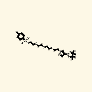 Cc1ccc(S(=O)(=O)OCCOCCOCCOCCn2cc(B3OC(C)(C)C(C)(C)O3)cn2)cc1